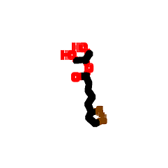 O=C(CCCCC1CCSS1)OC(CO)CO